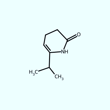 CC(C)C1=CCCC(=O)N1